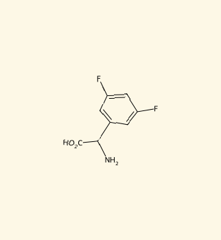 NC(C(=O)O)c1cc(F)cc(F)c1